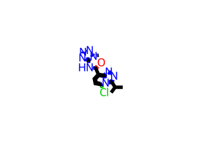 CC(C)c1nnc2c(C(=O)Nc3nnnn3C)ccc(Cl)n12